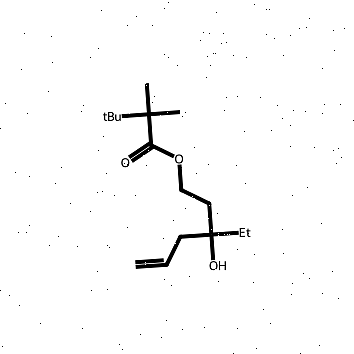 C=CCC(O)(CC)CCOC(=O)C(C)(C)C(C)(C)C